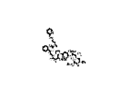 CC[C@H](C)[C@@H]([C@@H](CC(=O)N1CCC[C@H]1[C@H](OC)[C@@H](C)C(=O)N[C@H](C)[C@H](OC(=O)N(C)CCSSc1ccccn1)c1ccccc1)OC)N(C)C(=O)[C@@H](NC(=O)[C@H](C(C)C)N(C)C(=O)OC(C)(C)C)C(C)C